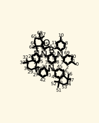 Cc1ccc(N2c3ccc(C)cc3B3c4oc5c(c4N(c4ccc6c(c4)C(C)(C)CCC6(C)C)c4cc(N(c6ccccc6)c6ccc7c(c6)C(C)(C)CCC7(C)C)cc2c43)C(C)(C)CCC5(C)C)cc1